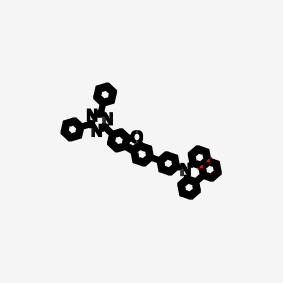 c1ccc(-c2nc(-c3ccccc3)nc(-c3ccc4c(c3)oc3cc(-c5ccc(N(c6ccccc6)c6ccccc6-c6ccccc6)cc5)ccc34)n2)cc1